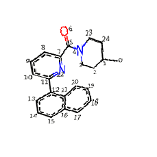 CC1CCN(C(=O)c2cccc(-c3cccc4ccccc34)n2)CC1